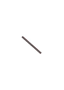 [c]1cccc2cc3cc4cc5cc6cc7cc8cc9cc%10cc%11cc%12cc%13cc%14cc%15cc%16cc%17cc%18cc%19cc%20ccccc%20cc%19cc%18cc%17cc%16cc%15cc%14cc%13cc%12cc%11cc%10cc9cc8cc7cc6cc5cc4cc3cc12